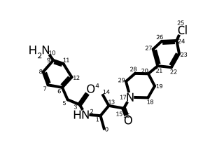 CC(NC(=O)Cc1ccc(N)cc1)C(C)C(=O)N1CCC(c2ccc(Cl)cc2)CC1